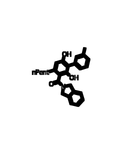 CCCCCc1cc(O)c(-c2cccc(C)c2)c(O)c1C(=O)N1Cc2ccccc2C1